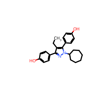 CCc1c(-c2ccc(O)cc2)nn(C2CCCCCC2)c1-c1ccc(O)cc1